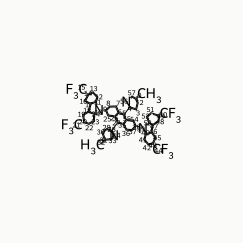 Cc1ccc(-c2c3ccc(-n4c5ccc(C(F)(F)F)cc5c5cc(C(F)(F)F)ccc54)cc3c(-c3ccc(C)cn3)c3ccc(-n4c5ccc(C(F)(F)F)cc5c5cc(C(F)(F)F)ccc54)cc23)nc1